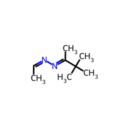 C/C=N\N=C(/C)C(C)(C)C